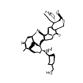 CC[C@@]1(O)C(=O)OCc2c1cc1n(c2=O)Cc2c-1nc1cc(F)c(C)c3c1c2[C@@H](NC1CC(CO)C1)CC3